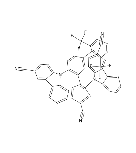 N#Cc1ccc(-c2cc(-c3c(C(F)(F)F)cccc3C(F)(F)F)ccc2-n2c3ccccc3c3cc(C#N)ccc32)c(-n2c3ccccc3c3cc(C#N)ccc32)c1